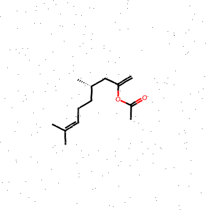 C=C(C[C@@H](C)CCC=C(C)C)OC(C)=O